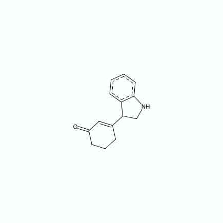 O=C1C=C(C2CNc3ccccc32)CCC1